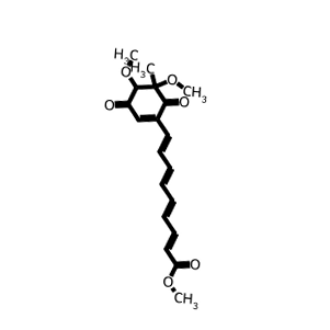 COC(=O)C=CC=CC=CC=CC1=CC(=O)C(OC)C(C)(OC)C1=O